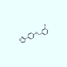 Fc1cccc(COc2ccc(-c3ccon3)cc2)c1